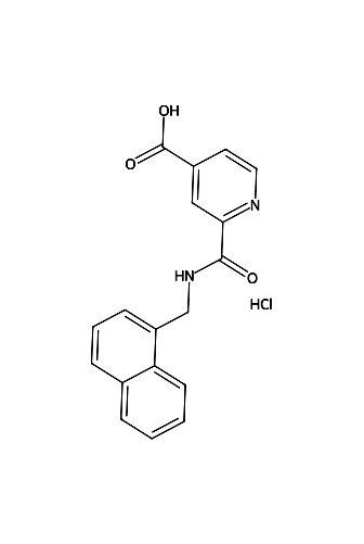 Cl.O=C(O)c1ccnc(C(=O)NCc2cccc3ccccc23)c1